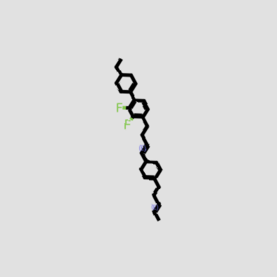 C/C=C/CCC1=CCC(/C=C/CCc2ccc(C3=CCC(CC)CC3)c(F)c2F)CC1